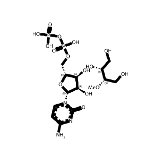 CO[C@@H](CO)[C@H](O)CO.Nc1ccn([C@@H]2O[C@H](COP(=O)(O)OP(=O)(O)O)[C@@H](O)[C@H]2O)c(=O)n1